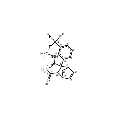 CNC(=O)C1(c2cccc(C(F)(F)F)c2)C2C=CC(C2)C1C(N)=O